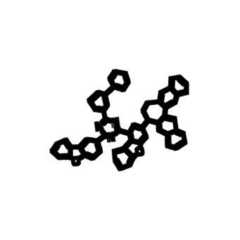 c1ccc(-c2cccc(-c3nc(-c4ccc5oc6ccccc6c5c4)nc(-c4cc(C5CCc6cc7ccccc7cc6-c6cc7ccccc7cc65)cc5oc6ccccc6c45)n3)c2)cc1